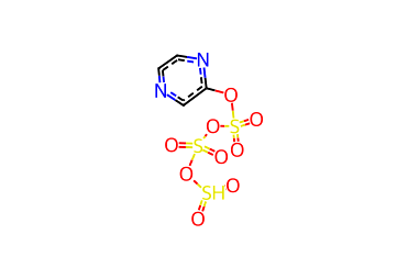 O=[SH](=O)OS(=O)(=O)OS(=O)(=O)Oc1cnccn1